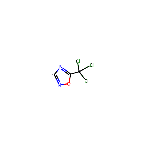 ClC(Cl)(Cl)c1n[c]no1